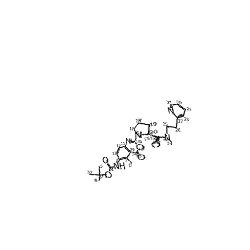 Cc1c(NC(=O)OC(C)(C)C)ccc2nc(N3CCC[C@H]3C(=O)N(C)CCc3ccccn3)oc(=O)c12